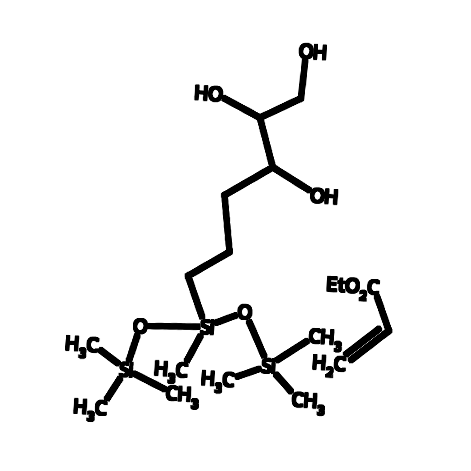 C=CC(=O)OCC.C[Si](C)(C)O[Si](C)(CCCC(O)C(O)CO)O[Si](C)(C)C